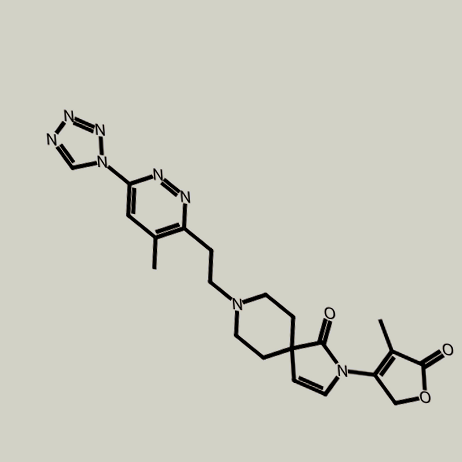 CC1=C(N2C=CC3(CCN(CCc4nnc(-n5cnnn5)cc4C)CC3)C2=O)COC1=O